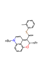 C=C(Sc1ccccc1C)C1=C2C=CN(CCCC)c3cccc(c32)OC1CCC